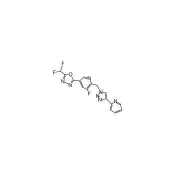 Fc1cc(-c2nnc(C(F)F)o2)cnc1Cn1cc(-c2ccccn2)nn1